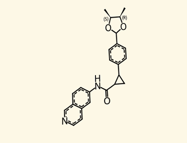 C[C@@H]1OC(c2ccc(C3CC3C(=O)Nc3ccc4cnccc4c3)cc2)O[C@@H]1C